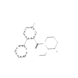 C[C@@H]1CCCN(C(=O)c2cc(Cl)ccc2-c2ncccn2)[C@@H]1CN